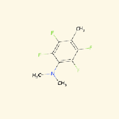 Cc1c(F)c(F)c(N(C)C)c(F)c1F